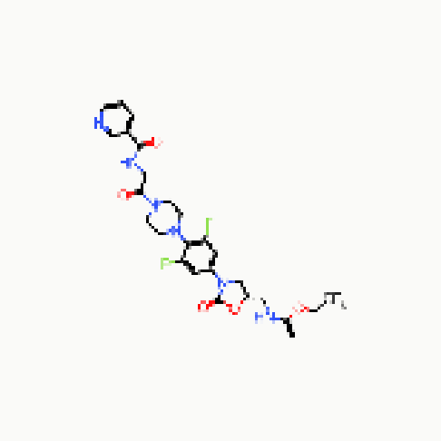 C=C(NC[C@H]1CN(c2cc(F)c(N3CCN(C(=O)CNC(=O)c4cccnc4)CC3)c(F)c2)C(=O)O1)OCC(F)(F)F